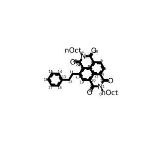 CCCCCCCCN1C(=O)c2ccc3c4c(c(CCc5ccccc5)cc(c24)C1=O)C(=O)N(CCCCCCCC)C3=O